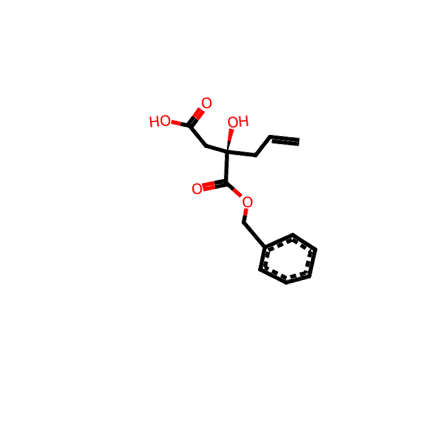 C=CC[C@@](O)(CC(=O)O)C(=O)OCc1ccccc1